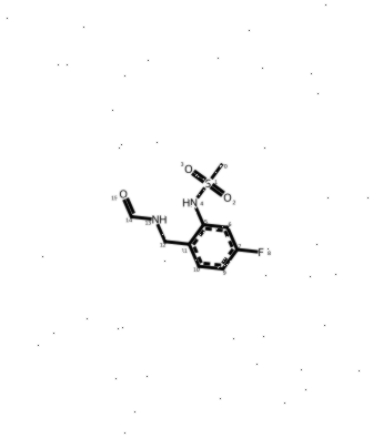 CS(=O)(=O)Nc1cc(F)ccc1CN[C]=O